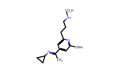 COc1cc(/C(C)=N/C2CC2)cc(CCCNC(=O)O)n1